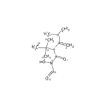 C=C(C(C)C)C(C(=O)N(O)C=O)C(C)(C)C